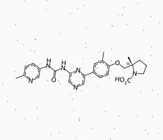 Cc1ccc(NC(=O)Nc2cncc(-c3ccc(OC[C@]4(C)CCCN4C(=O)O)c(C)c3)n2)cn1